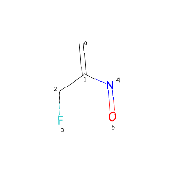 C=C(CF)N=O